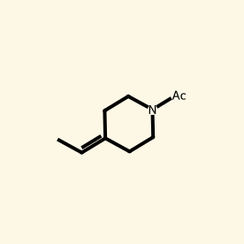 CC=C1CCN(C(C)=O)CC1